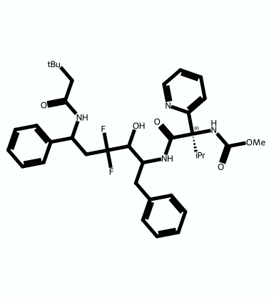 COC(=O)N[C@@](C(=O)NC(Cc1ccccc1)C(O)C(F)(F)CC(NC(=O)CC(C)(C)C)c1ccccc1)(c1ccccn1)C(C)C